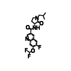 CC(C)CN1CCC(NC(=O)c2cnc3cc(OC(F)F)c(F)cc3c2)C1=O